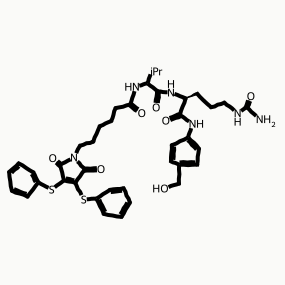 CC(C)C(NC(=O)CCCCCN1C(=O)C(Sc2ccccc2)=C(Sc2ccccc2)C1=O)C(=O)N[C@@H](CCCNC(N)=O)C(=O)Nc1ccc(CO)cc1